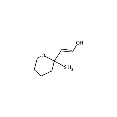 OC=CC1([SiH3])CCCCO1